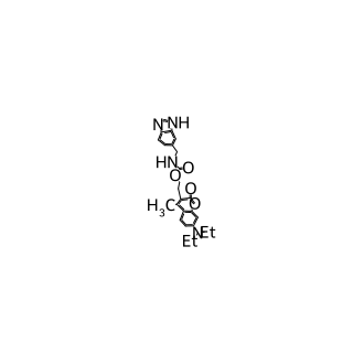 CCN(CC)c1ccc2c(C)c(CCOC(=O)NCc3ccc4nc[nH]c4c3)c(=O)oc2c1